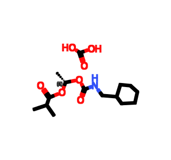 CC(C)C(=O)O[C@H](C)OC(=O)NCC1CCCCC1.O=C(O)O